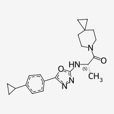 C[C@H](Nc1nnc(-c2ccc(C3CC3)cc2)o1)C(=O)N1CCC2(CC1)CC2